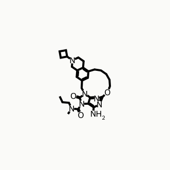 CCCN(C)C(=O)n1c(=O)n2c3nc(nc(N)c31)OCCCCCc1cc(cc3c1CCN(C1CCC1)C3)C2